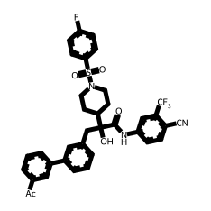 CC(=O)c1cccc(-c2cccc(CC(O)(C(=O)Nc3ccc(C#N)c(C(F)(F)F)c3)C3CCN(S(=O)(=O)c4ccc(F)cc4)CC3)c2)c1